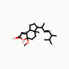 COC12CCC3(C)C(CCC3C(C)/C=C/C(C)C(C)C)C1=CC(=O)O2